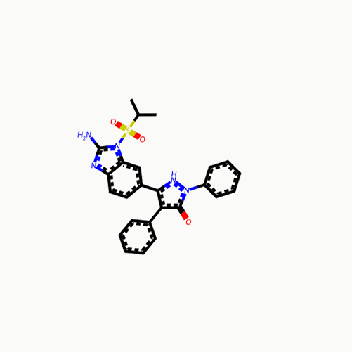 CC(C)S(=O)(=O)n1c(N)nc2ccc(-c3[nH]n(-c4ccccc4)c(=O)c3-c3ccccc3)cc21